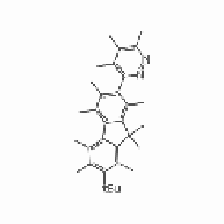 Cc1nnc(-c2c(C)c(C)c3c(c2C)C(C)(C)c2c(C)c(C(C)(C)C)c(C)c(C)c2-3)c(C)c1C